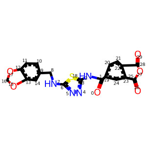 O=C(Nc1nnc(NCc2ccc3c(c2)OCO3)s1)c1ccc2c(c1)C(=O)OC2=O